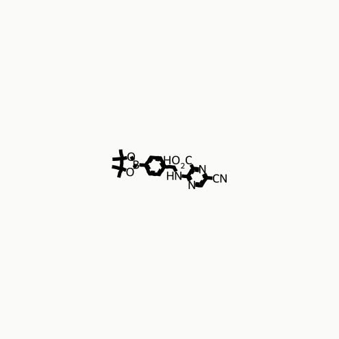 CC1(C)OB(c2ccc(CNc3ncc(C#N)nc3C(=O)O)cc2)OC1(C)C